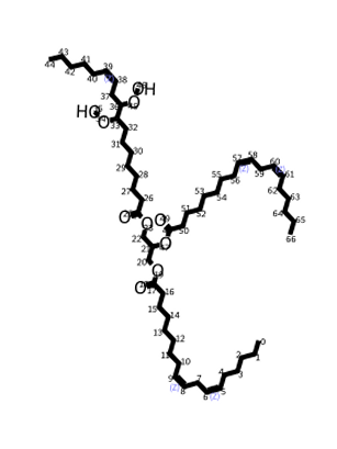 CCCCC/C=C\C/C=C\CCCCCCCC(=O)OCC(COC(=O)CCCCCCCC(OO)C(C/C=C\CCCCC)OO)OC(=O)CCCCCCC/C=C\C/C=C\CCCCC